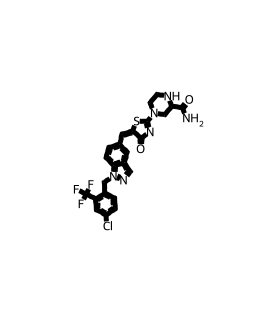 NC(=O)C1CN(C2=NC(=O)C(=Cc3ccc4c(cnn4Cc4ccc(Cl)cc4C(F)(F)F)c3)S2)CCN1